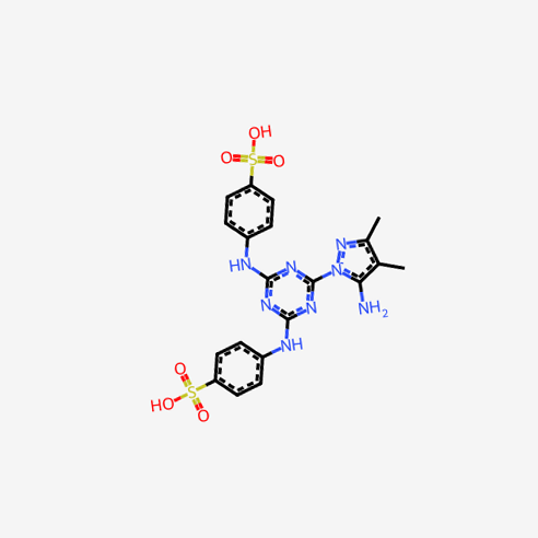 Cc1nn(-c2nc(Nc3ccc(S(=O)(=O)O)cc3)nc(Nc3ccc(S(=O)(=O)O)cc3)n2)c(N)c1C